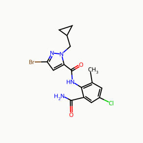 Cc1cc(Cl)cc(C(N)=O)c1NC(=O)c1cc(Br)nn1CC1CC1